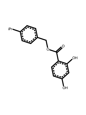 CC(C)c1ccc(COC(=O)c2ccc(O)cc2O)cc1